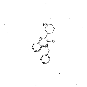 O=c1c(C2CCCNC2)nc2ccccc2n1Cc1ccccc1